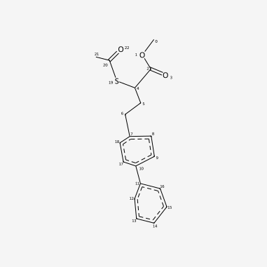 COC(=O)C(CCc1ccc(-c2ccccc2)cc1)SC(C)=O